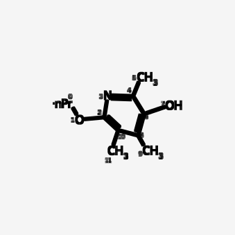 CC[CH]Oc1nc(C)c(O)c(C)c1C